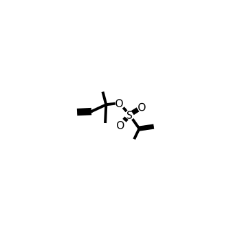 C#CC(C)(C)OS(=O)(=O)C(=C)C